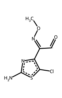 CON=C([C]=O)c1nc(N)sc1Cl